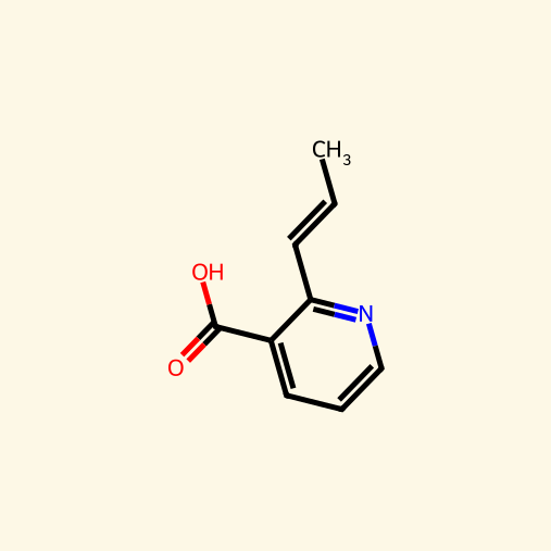 CC=Cc1ncccc1C(=O)O